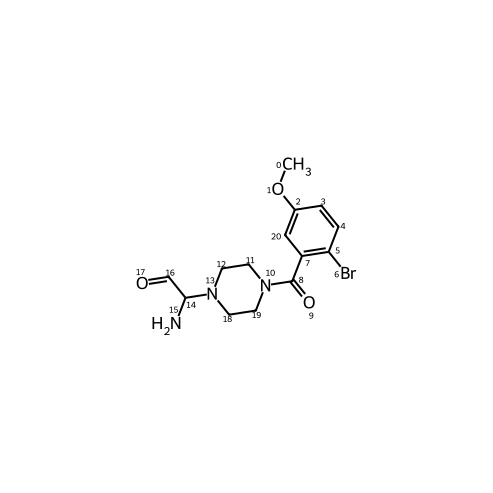 COc1ccc(Br)c(C(=O)N2CCN(C(N)C=O)CC2)c1